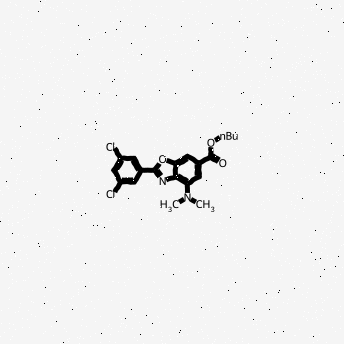 CCCCOC(=O)c1cc(N(C)C)c2nc(-c3cc(Cl)cc(Cl)c3)oc2c1